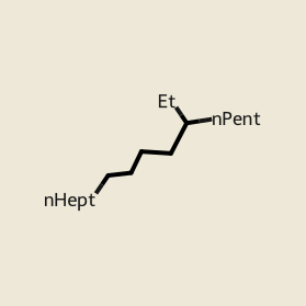 CC[CH]CCC(CC)CCCCCCCCCCC